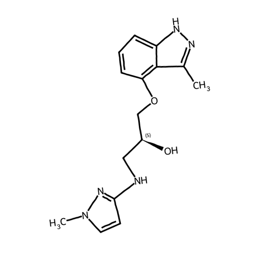 Cc1n[nH]c2cccc(OC[C@@H](O)CNc3ccn(C)n3)c12